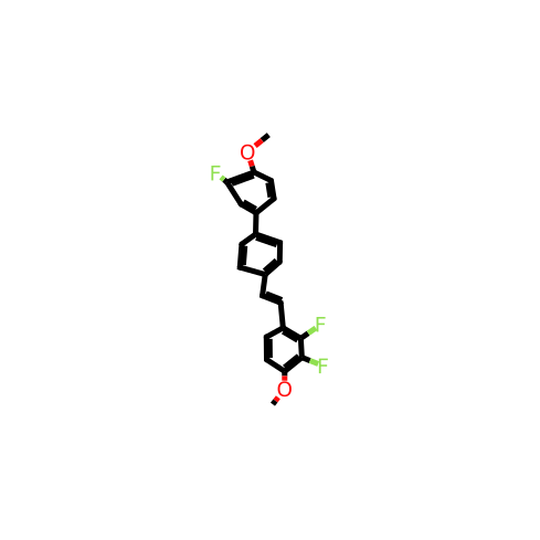 COc1ccc(-c2ccc(/C=C/c3ccc(OC)c(F)c3F)cc2)cc1F